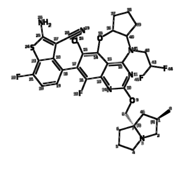 C[C@H]1CN2CCC[C@@]2(COc2nc3c4c(c(Cl)c(-c5ccc(F)c6sc(N)c(C#N)c56)c(F)c4n2)OC2CCCC2N3CC(F)F)C1